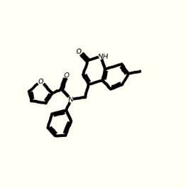 Cc1ccc2c(CN(C(=O)c3ccco3)c3ccccc3)cc(=O)[nH]c2c1